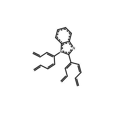 C=C/C=C\C(=C/C=C)c1nc2ccccc2n1C(/C=C\C=C)=C/C=C